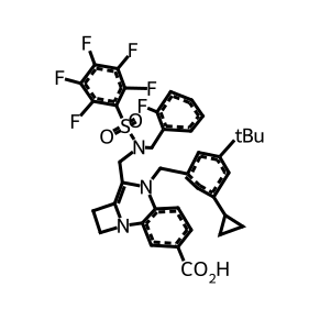 CC(C)(C)c1cc(CN2C(CN(Cc3ccccc3F)S(=O)(=O)c3c(F)c(F)c(F)c(F)c3F)=C3CCN3c3cc(C(=O)O)ccc32)cc(C2CC2)c1